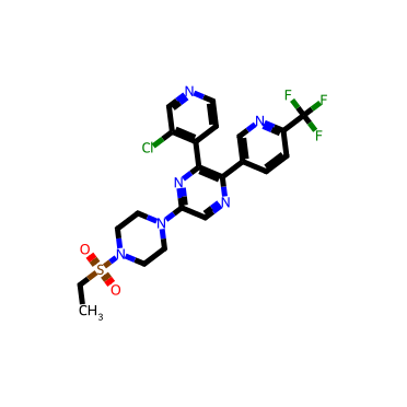 CCS(=O)(=O)N1CCN(c2cnc(-c3ccc(C(F)(F)F)nc3)c(-c3ccncc3Cl)n2)CC1